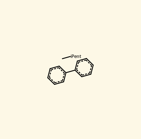 CCCC(C)C.c1ccc(-c2ccccc2)cc1